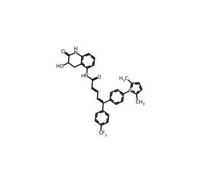 Cc1ccc(C)n1-c1ccc(/C(=C\C=C\C(=O)Nc2cccc3c2CC(O)C(=O)N3)c2ccc(C(F)(F)F)cc2)cc1